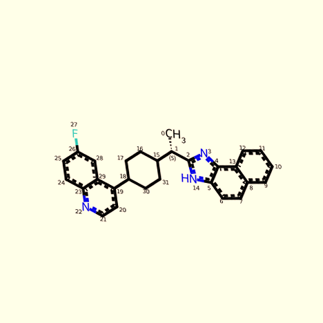 C[C@H](c1nc2c(ccc3ccccc32)[nH]1)C1CCC(c2ccnc3ccc(F)cc23)CC1